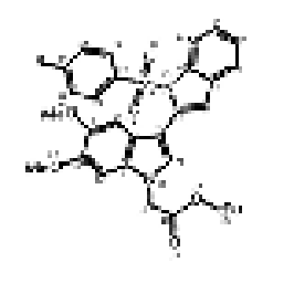 COc1cc2c(-c3cc4cccnc4n3S(=O)(=O)c3ccc(C)cc3)cn(CC(=O)OC(C)(C)C)c2cc1OC